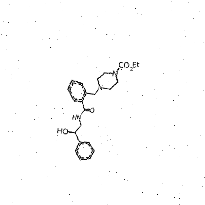 CCOC(=O)N1CCN(Cc2ccccc2C(=O)NCC(O)c2ccccc2)CC1